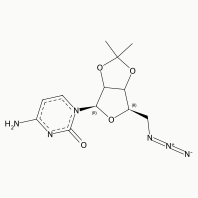 CC1(C)OC2C(O1)[C@@H](CN=[N+]=[N-])O[C@H]2n1ccc(N)nc1=O